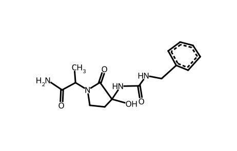 CC(C(N)=O)N1CCC(O)(NC(=O)NCc2ccccc2)C1=O